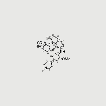 COc1cc(N2CCN(C)CC2)ccc1Nc1ncc2ccc(=O)n(-c3cc(NC(=O)O)ccc3F)c2n1